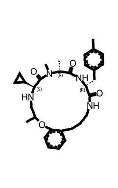 Cc1ccc(C[C@H]2NC(=O)[C@@H](C)N(C)C(=O)[C@H](C3CC3)NCC(C)Oc3ccccc3CCCNC2=O)cc1